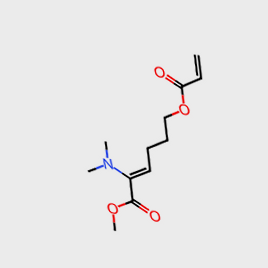 C=CC(=O)OCCCC=C(C(=O)OC)N(C)C